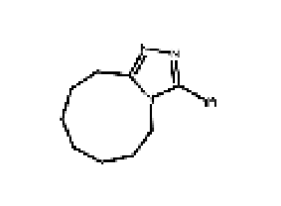 CC(C)c1nnc2n1CCCCCCC2